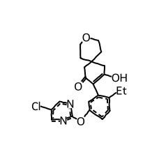 CCc1ccc(Oc2ncc(Cl)cn2)cc1C1=C(O)CC2(CCOCC2)CC1=O